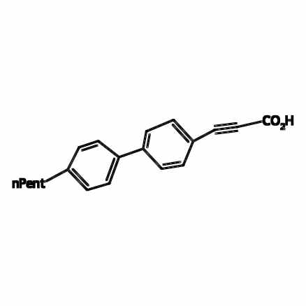 CCCCCc1ccc(-c2ccc(C#CC(=O)O)cc2)cc1